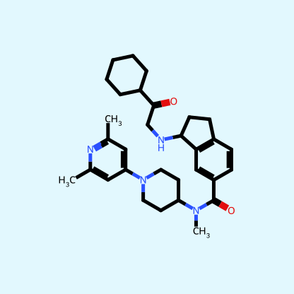 Cc1cc(N2CCC(N(C)C(=O)c3ccc4c(c3)C(NCC(=O)C3CCCCC3)CC4)CC2)cc(C)n1